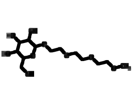 COCCOCCOCCOC1OC(CO)C(O)C(O)C1O